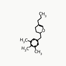 CCCC1=COC(Cc2cc(C)c(C)c(C)c2)CC1